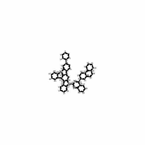 c1ccc(-c2ccc3c4cc5c(c6ccccc6n5-c5nc(-c6ccc7c(ccc8ccccc87)c6)c6ccccc6n5)c5c6ccccc6n(c3c2)c45)cc1